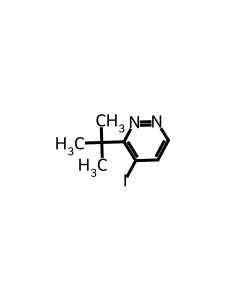 CC(C)(C)c1nnccc1I